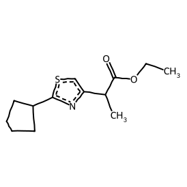 CCOC(=O)C(C)c1csc(C2CCCC2)n1